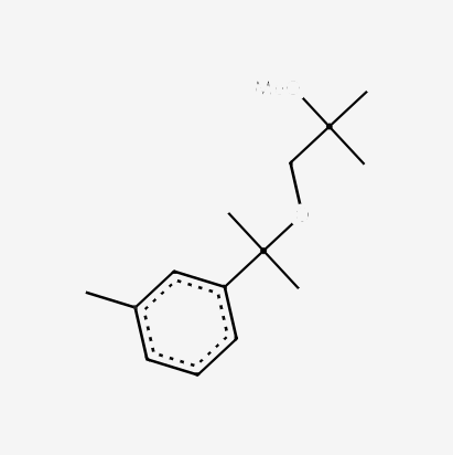 COC(C)(C)COC(C)(C)c1cccc(C)c1